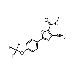 COC(=O)c1sc(-c2ccc(OC(F)(F)F)cc2)cc1N